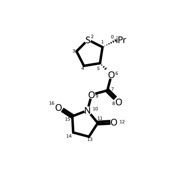 CC(C)[C@H]1SCC[C@H]1OC(=O)ON1C(=O)CCC1=O